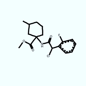 COC(=O)C1(NC(=O)C(Cl)c2ccccc2F)CCCC(C)C1